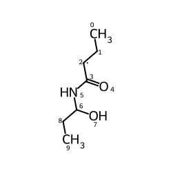 CC[CH]C(=O)NC(O)CC